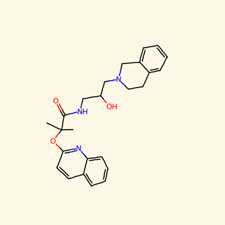 CC(C)(Oc1ccc2ccccc2n1)C(=O)NCC(O)CN1CCc2ccccc2C1